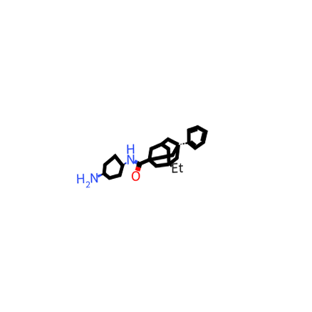 CC[C@]12CC3CC(C(=O)N[C@H]4CC[C@H](N)CC4)(C1)C[C@@](c1ccccc1)(C3)C2